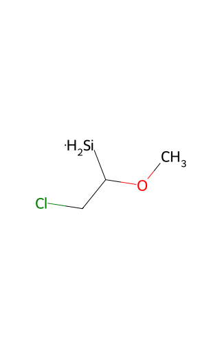 COC([SiH2])CCl